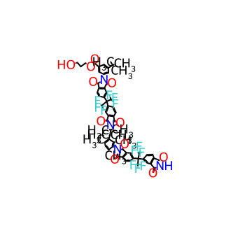 Cc1cc(C)c(C(C)(C)C(C)(C)N2C(=O)c3ccc(C(c4ccc5c(c4)C(=O)N(c4cc(C(=O)OCCCO)cc(C(C)(C)C)c4)C5=O)(C(F)(F)F)C(F)(F)F)cc3C2=O)c(C)c1N1C(=O)c2ccc(C(c3ccc4c(c3)C(=O)NC4=O)(C(F)(F)F)C(F)(F)F)cc2C1=O